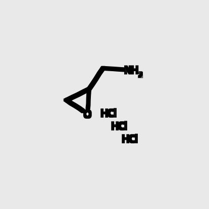 Cl.Cl.Cl.NCC1CO1